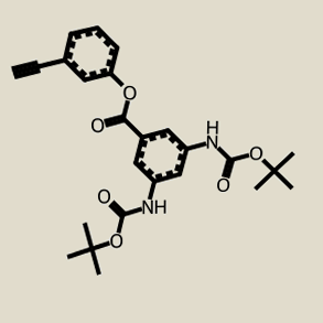 C#Cc1cccc(OC(=O)c2cc(NC(=O)OC(C)(C)C)cc(NC(=O)OC(C)(C)C)c2)c1